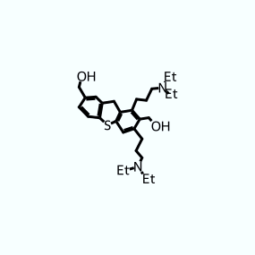 CCN(CC)CCCc1cc2c(c(CCCN(CC)CC)c1CO)Cc1cc(CO)ccc1S2